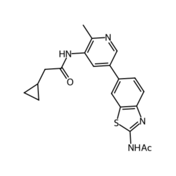 CC(=O)Nc1nc2ccc(-c3cnc(C)c(NC(=O)CC4CC4)c3)cc2s1